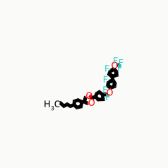 CCCCCC1CCC(C2COC(C3CCC(C(F)(F)Oc4ccc(-c5ccc(OC(F)(F)F)c(F)c5)c(F)c4)CC3)OC2)CC1